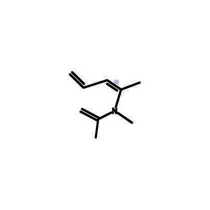 C=C/C=C(/C)N(C)C(=C)C